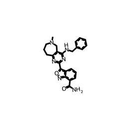 CN1CCCc2nc(-c3onc4c(C(N)=O)cccc34)nc(NCc3ccccc3)c2C1